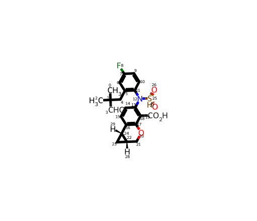 CC(C)(C=O)Cc1cc(F)ccc1N(c1ccc2c(c1C(=O)O)OC[C@@H]1C[C@H]21)[SH](=O)=O